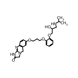 CC(C)NCC(O)COc1ccccc1OCCCOc1ccc2c(c1)CN1CC(=O)NC1=N2